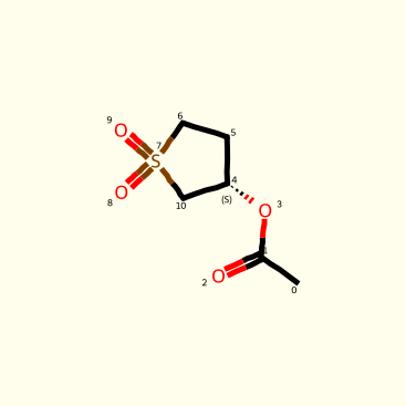 CC(=O)O[C@H]1CCS(=O)(=O)C1